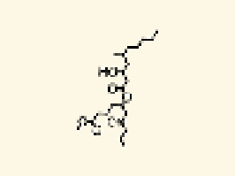 CCCCCC(C)CC(O)CC(=O)OC(CCCCC)CC(O)CC(=O)OC